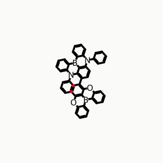 c1ccc(N2c3ccccc3B3c4ccccc4N(c4ccccc4)c4c(-c5ccc6c7c5Oc5ccccc5B7c5ccccc5O6)ccc2c43)cc1